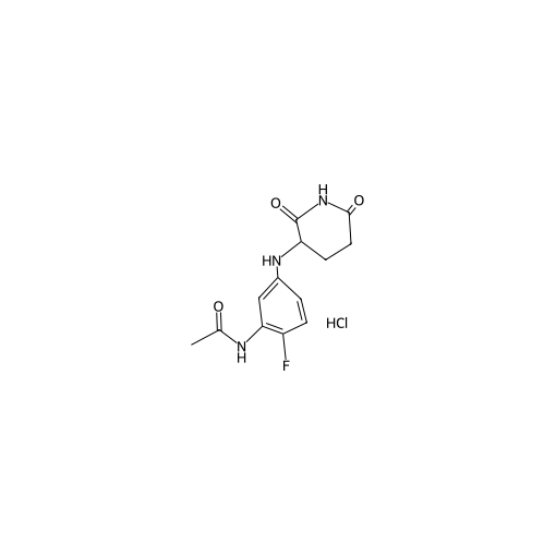 CC(=O)Nc1cc(NC2CCC(=O)NC2=O)ccc1F.Cl